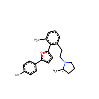 Cc1cccc(CCN2CCC[C@H]2C)c1-c1ccc(-c2ccc(C#N)cc2)o1